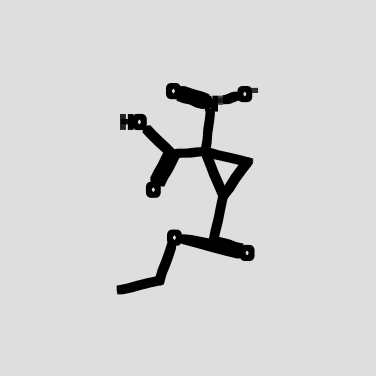 CCOC(=O)C1CC1(C(=O)O)[N+](=O)[O-]